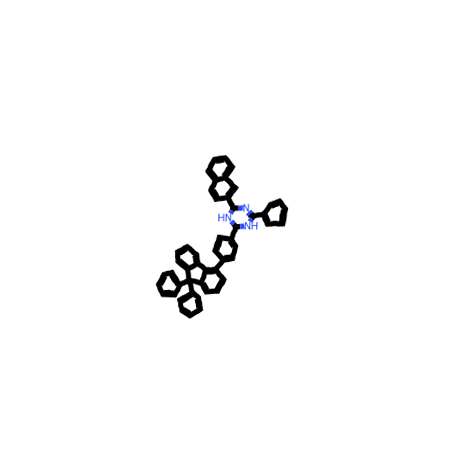 c1ccc(C2=NC(c3ccc4ccccc4c3)NC(c3ccc(-c4cccc5c4-c4ccccc4C5(c4ccccc4)c4ccccc4)cc3)N2)cc1